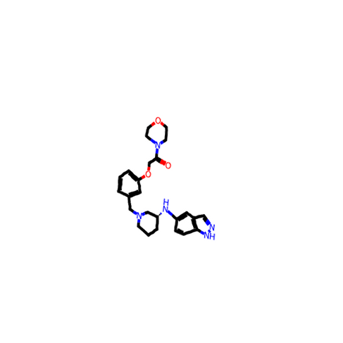 O=C(COc1cccc(CN2CCC[C@@H](Nc3ccc4[nH]ncc4c3)C2)c1)N1CCOCC1